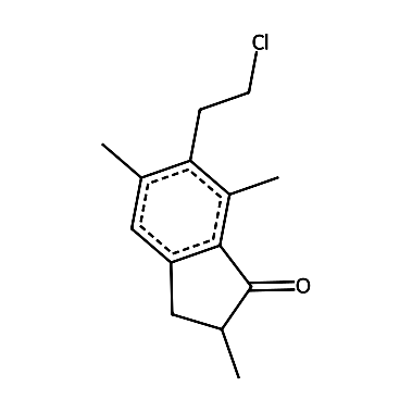 Cc1cc2c(c(C)c1CCCl)C(=O)C(C)C2